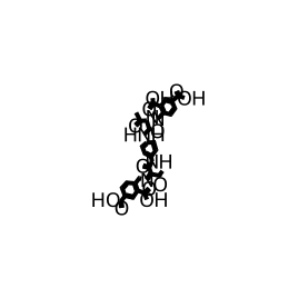 CC(=O)/C(=N/Cc1ccc(C(=O)O)cc1C(=O)O)C(=O)Nc1ccc(NC(=O)/C(=N\Nc2ccc(C(=O)O)cc2C(=O)O)C(C)=O)cc1